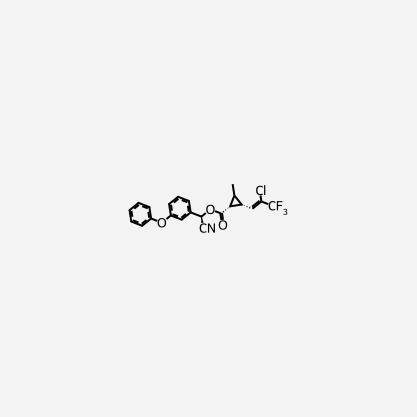 CC1[C@@H](C(=O)O[C@@H](C#N)c2cccc(Oc3ccccc3)c2)[C@H]1/C=C(\Cl)C(F)(F)F